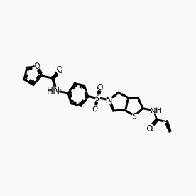 C=CC(=O)NC1CC2CN(S(=O)(=O)c3ccc(NC(=O)c4ccco4)cc3)CC2S1